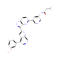 COc1cc(F)cc(-c2cncc3[nH]c(-c4n[nH]c5ccc(-c6cncc(NC(=O)CC(C)C)c6)nc45)cc23)c1